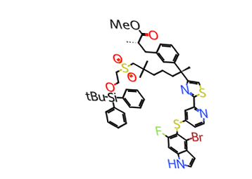 COC(=O)[C@@H](C)Cc1cccc([C@@](C)(CCCC(C)(C)CS(=O)(=O)CCO[Si](c2ccccc2)(c2ccccc2)C(C)(C)C)c2csc(-c3cc(Sc4c(F)cc5[nH]ccc5c4Br)ccn3)n2)c1